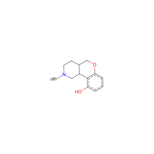 CCCN1CCC2COc3cccc(O)c3C2C1